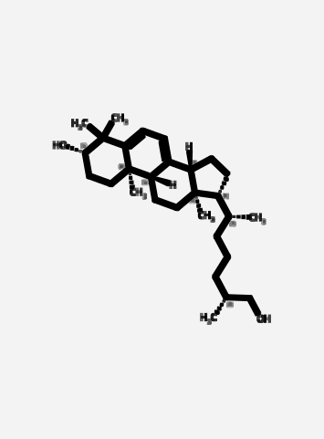 C[C@@H](CO)CCC[C@@H](C)[C@H]1CC[C@H]2C3=CC=C4C(C)(C)[C@@H](O)CC[C@]4(C)[C@H]3CC[C@]12C